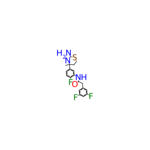 CC1(c2ccc(F)c(NC(=O)Cc3cc(F)cc(F)c3)c2)CCSC(N)=N1